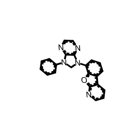 c1ccc(N2CN(c3cccc4c3oc3ncccc34)c3nccnc32)cc1